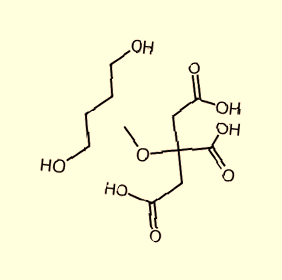 COC(CC(=O)O)(CC(=O)O)C(=O)O.OCCCCO